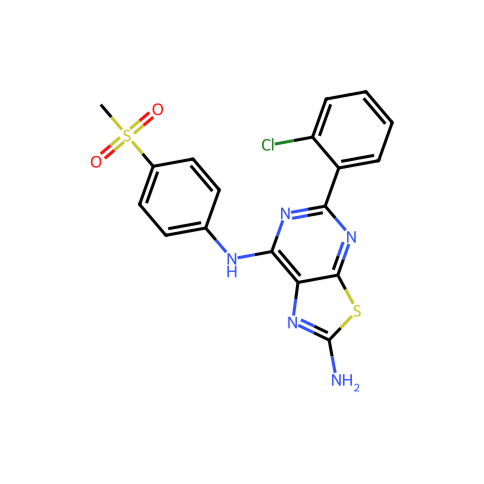 CS(=O)(=O)c1ccc(Nc2nc(-c3ccccc3Cl)nc3sc(N)nc23)cc1